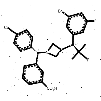 CC(C)(F)[C@H](c1cc(F)cc(Br)c1)C1CN([C@@H](c2ccc(Cl)cc2)c2cccc(C(=O)O)c2)C1